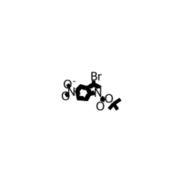 CC(C)(C)OC(=O)n1cc(Br)c2cc([N+](=O)[O-])ccc21